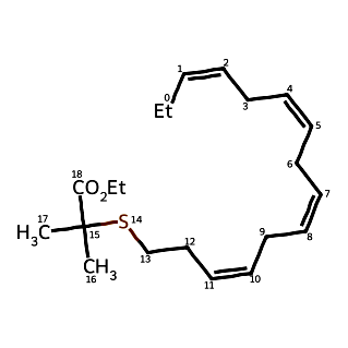 CC/C=C\C/C=C\C/C=C\C/C=C\CCSC(C)(C)C(=O)OCC